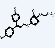 O=C(O)COc1ccc(SCC=C(c2ccc(Br)cc2)c2ccc(Br)cc2)cc1Cl